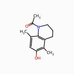 CC(=O)N1CCCc2c(C)c(O)cc(C)c21